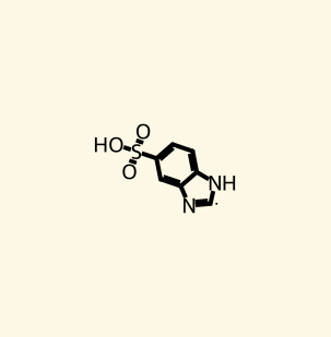 O=S(=O)(O)c1ccc2[nH][c]nc2c1